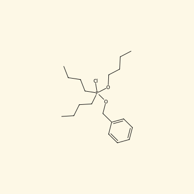 CCCCOP(Cl)(CCCC)(CCCC)OCc1ccccc1